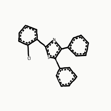 Clc1ccccc1-c1nc(-c2ccccc2)c(-c2ccccc2)s1